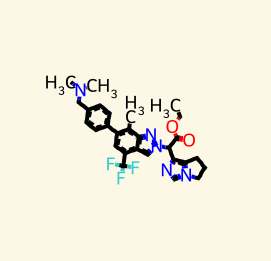 CCOC(=O)C(c1ncn2c1CCC2)n1cc2c(C(F)(F)F)cc(-c3ccc(CN(C)C)cc3)c(C)c2n1